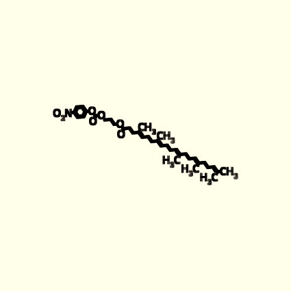 CC(C)=CCC/C(C)=C/CC/C(C)=C/CC/C=C(\C)CC/C=C(\C)CCC(=O)OCCCOC(=O)Oc1ccc([N+](=O)[O-])cc1